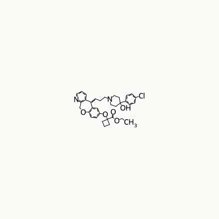 CCOC(=O)C1(Oc2ccc3c(c2)C(=CCCN2CCC(O)(c4ccc(Cl)cc4)CC2)c2cccnc2CO3)CCC1